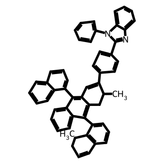 CC1Cc2c(c(-c3cccc4ccccc34)c3ccccc3c2-c2cccc3c2[C@@H](C)CC=C3)C=C1c1ccc(-c2nc3ccccc3n2-c2ccccc2)cc1